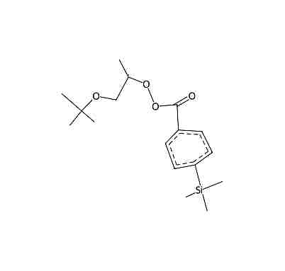 C[C](COC(C)(C)C)OOC(=O)c1ccc([Si](C)(C)C)cc1